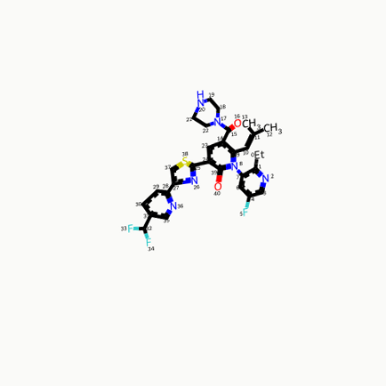 CCc1ncc(F)cc1-n1c(C=C(C)C)c(C(=O)N2CCNCC2)cc(-c2nc(-c3ccc(C(F)F)cn3)cs2)c1=O